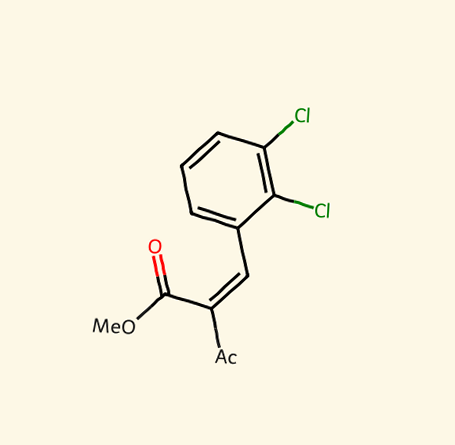 COC(=O)C(=Cc1cccc(Cl)c1Cl)C(C)=O